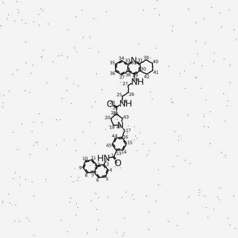 O=C(Nc1cccc2ccccc12)c1ccc(CN2CC[C@@H](C(=O)NCCCNc3c4c(nc5ccccc35)CCCC4)C2)cc1